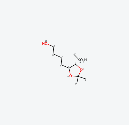 CC1(C)OCC(CCCCO)O1.CS(=O)(=O)O